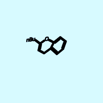 [CH2]CCCC1=CCc2ccccc2O1